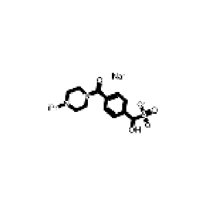 CC(C)N1CCN(C(=O)c2ccc(C(O)S(=O)(=O)[O-])cc2)CC1.[Na+]